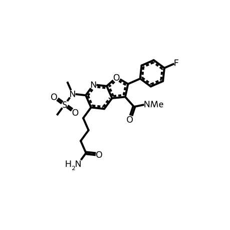 CNC(=O)c1c(-c2ccc(F)cc2)oc2nc(N(C)S(C)(=O)=O)c(CCCC(N)=O)cc12